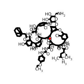 CCOc1ccc(NC(=O)NC(=O)C[C@@H]2CC(=O)[C@H](NC(=O)[C@H](CC)CC(C)C)[C@H](O)c3ccc(c(Cl)c3)Oc3cc4cc(c3O[C@@H]3O[C@H](CN)[C@@H](O)[C@H](O)[C@H]3O)Oc3ccc(cc3Cl)[C@@H](O)[C@@H]3NC(=O)[C@H](CC(=O)[C@@H]4NC2=O)c2ccc(O)c(c2)-c2c(O)cc(O)cc2[C@@H](C(=O)CC2C4CC5CC(C4)CC2C5)NC3=O)cc1